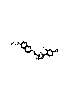 COc1ccc2cc(C=Cc3nc(-c4ccc(Cl)cc4Cl)c[nH]3)ccc2c1